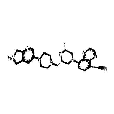 C[C@@H]1CN(c2ccc(C#N)c3nccnc23)C[C@H](CN2CCN(c3cnc4c(c3)CNC4)CC2)O1